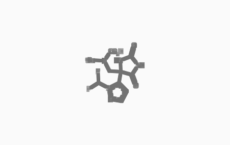 CC(C)(C)N(CC1(c2ccnn2C(F)F)NC(=O)NC1=O)C(=O)O